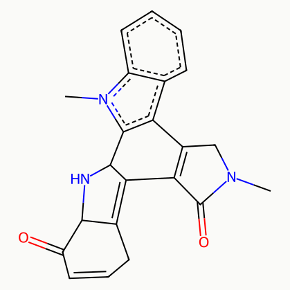 CN1CC2=C(C1=O)C1=C3CC=CC(=O)C3NC1c1c2c2ccccc2n1C